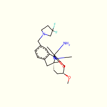 CO[C@H]1CC[C@]2(CC1)Cc1ccc(CN3CCC(F)(F)C3)cc1C21N=C(N)N(C)C1=O